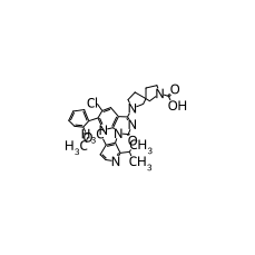 COc1ccccc1-c1nc2c(cc1Cl)c(N1CCC3(CCN(C(=O)O)C3)C1)nc(=O)n2-c1c(C)ccnc1C(C)C